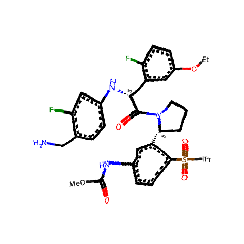 CCOc1ccc(F)c([C@@H](Nc2ccc(CN)c(F)c2)C(=O)N2CCC[C@@H]2c2cc(NC(=O)OC)ccc2S(=O)(=O)C(C)C)c1